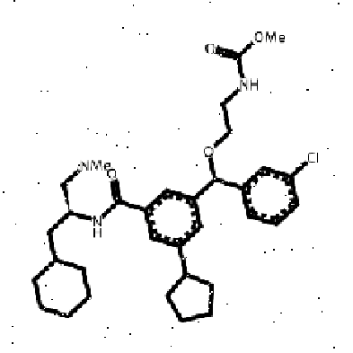 CNC[C@H](CC1CCCCC1)NC(=O)c1cc(C2CCCC2)cc(C(OCCNC(=O)OC)c2cccc(Cl)c2)c1